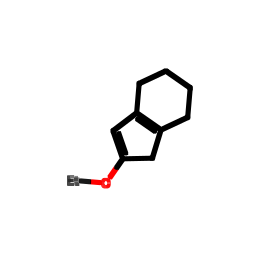 CCOC1=CC2=C(CCCC2)C1